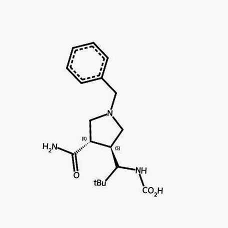 CC(C)(C)C(NC(=O)O)[C@@H]1CN(Cc2ccccc2)C[C@H]1C(N)=O